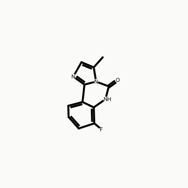 Cc1cnc2c3cccc(F)c3[nH]c(=O)n12